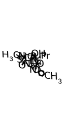 Cc1cccc(CC2(C(=O)N[C@@H](CC(C)C)B(O)O)CC(CNC(=O)c3sc(C)nc3C)=NO2)c1